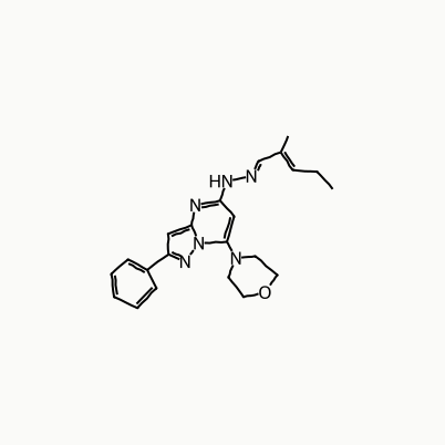 CCC=C(C)C=NNc1cc(N2CCOCC2)n2nc(-c3ccccc3)cc2n1